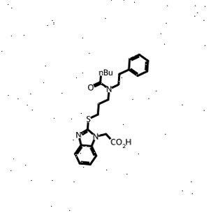 CCCCC(=O)N(CCCSc1nc2ccccc2n1CC(=O)O)CCc1ccccc1